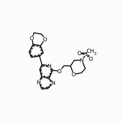 CS(=O)(=O)N1CCOC(COc2nc(-c3ccc4c(c3)OCCO4)cc3nccnc23)C1